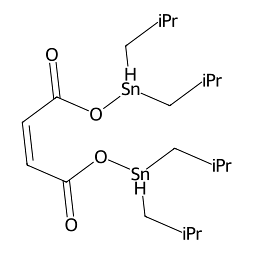 CC(C)[CH2][SnH]([CH2]C(C)C)[O]C(=O)/C=C\C(=O)[O][SnH]([CH2]C(C)C)[CH2]C(C)C